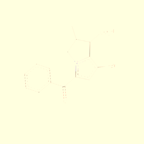 CC1Cn2c(C(=O)c3ccccc3)cc(Br)c2C1C(=O)O